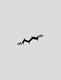 C[CH]CC=CCCCCC